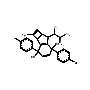 CC1=CC2C1C1=C(C2C(C)C(C)C)C(O)(c2ccc(Br)cc2)C=CC1(O)c1ccc(Br)cc1